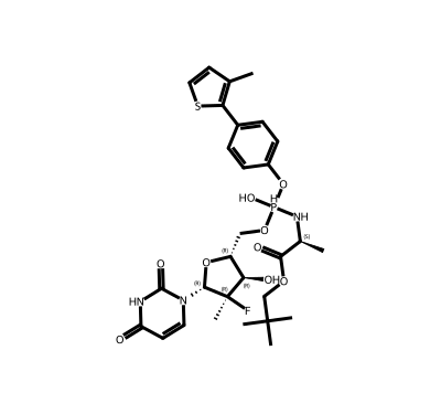 Cc1ccsc1-c1ccc(O[PH](O)(N[C@@H](C)C(=O)OCC(C)(C)C)OC[C@H]2O[C@@H](n3ccc(=O)[nH]c3=O)[C@](C)(F)[C@@H]2O)cc1